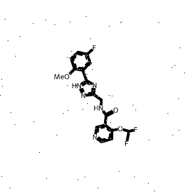 COc1ccc(F)cc1-c1nc(CNC(=O)c2cnccc2OC(F)F)n[nH]1